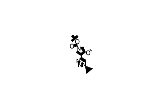 CO[C@H]1CN(C(=O)OC(C)(C)C)C[C@@H]1c1cn(C2CC2)nn1